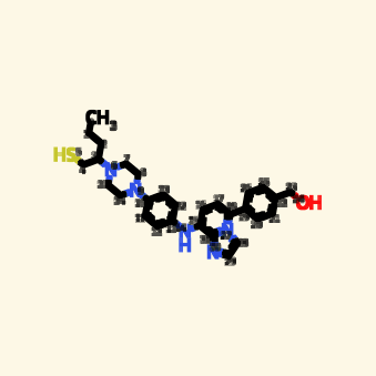 CCCC(CS)N1CCN(c2ccc(Nc3ccc(-c4ccc(CO)cc4)n4ccnc34)cc2)CC1